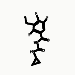 CCc1c(F)c(F)cc(C(=O)NC(=O)NC2CC2)c1F